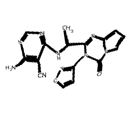 CC(Nc1ncnc(N)c1C#N)c1nc2cccn2c(=O)n1-c1ccon1